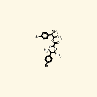 CC(OC(=O)C(=O)OC(C)C(N)c1ccc(Br)cc1)C(N)c1ccc(Br)cc1